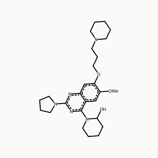 COc1cc2c(N3CCCCC3O)nc(N3CCCC3)nc2cc1OCCCN1CCCCC1